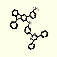 CC1C=CC=C(c2cc3c4ccccc4n(-c4ccccc4)c3cc2Nc2cccc(-c3nc(-c4ccccc4)cc(-c4ccccc4)n3)c2)C1